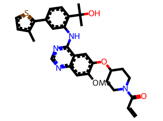 C=CC(=O)N1CCC(Oc2cc3c(Nc4cc(-c5sccc5C)ccc4C(C)(C)O)ncnc3cc2OC)CC1